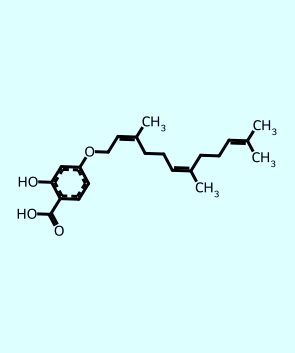 CC(C)=CCCC(C)=CCCC(C)=CCOc1ccc(C(=O)O)c(O)c1